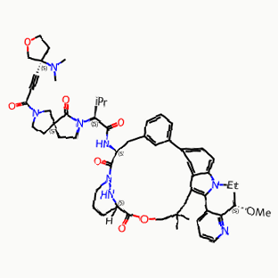 CCn1c(-c2cccnc2[C@H](C)OC)c2c3cc(ccc31)-c1cccc(c1)C[C@H](NC(=O)[C@H](C(C)C)N1CC[C@]3(CCN(C(=O)C#C[C@@]4(N(C)C)CCOC4)C3)C1=O)C(=O)N1CCC[C@H](N1)C(=O)OCC(C)(C)C2